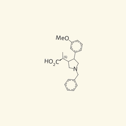 COc1cccc(C2CN(Cc3ccccc3)CC2[C@H](C)C(=O)O)c1